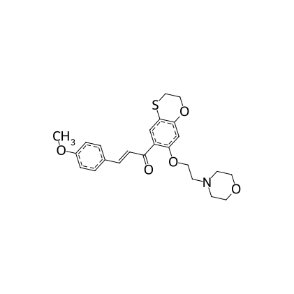 COc1ccc(C=CC(=O)c2cc3c(cc2OCCN2CCOCC2)OCCS3)cc1